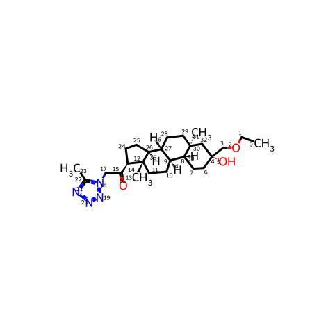 CCOC[C@@]1(O)CC[C@@H]2[C@H]3CC[C@]4(C)[C@@H](C(=O)Cn5nnnc5C)CC[C@H]4[C@@H]3CC[C@@]2(C)C1